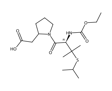 CCOC(=O)N[C@H](C(=O)N1CCCC1CC(=O)O)C(C)(C)SC(C)C